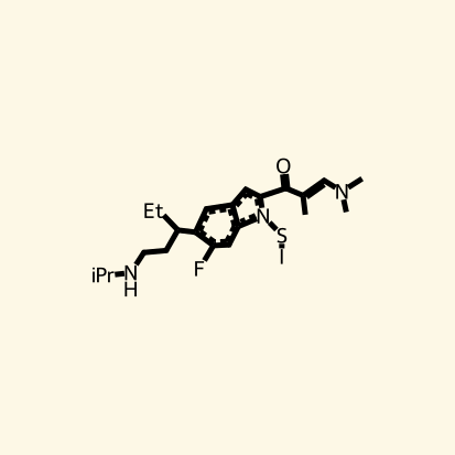 CCC(CCNC(C)C)c1cc2cc(C(=O)/C(C)=C/N(C)C)n(SI)c2cc1F